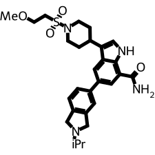 COCCS(=O)(=O)N1CCC(c2c[nH]c3c(C(N)=O)cc(-c4ccc5c(c4)CN(C(C)C)C5)cc23)CC1